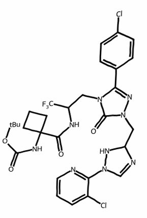 CC(C)(C)OC(=O)NC1(C(=O)NC(Cn2c(-c3ccc(Cl)cc3)nn(CC3N=CN(c4ncccc4Cl)N3)c2=O)C(F)(F)F)CCC1